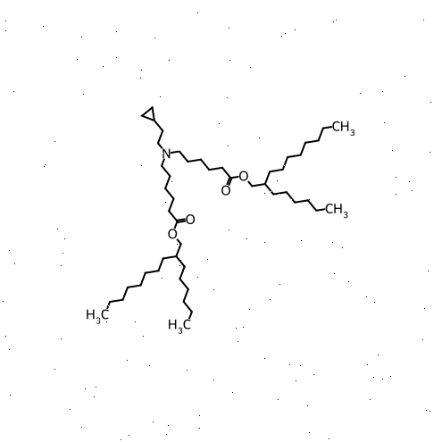 CCCCCCCCC(CCCCCC)COC(=O)CCCCCN(CCCCCC(=O)OCC(CCCCCC)CCCCCCCC)CCC1CC1